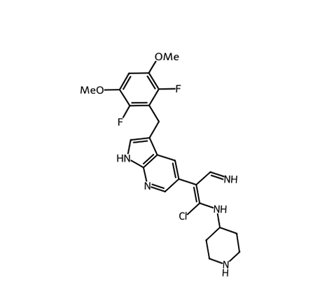 COc1cc(OC)c(F)c(Cc2c[nH]c3ncc(/C(C=N)=C(\Cl)NC4CCNCC4)cc23)c1F